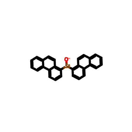 [O-][S+](c1cccc2c1ccc1ccccc12)c1cccc2c1ccc1ccccc12